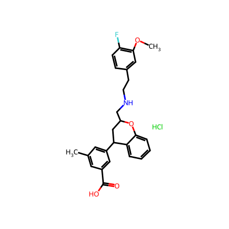 COc1cc(CCNCC2CC(c3cc(C)cc(C(=O)O)c3)c3ccccc3O2)ccc1F.Cl